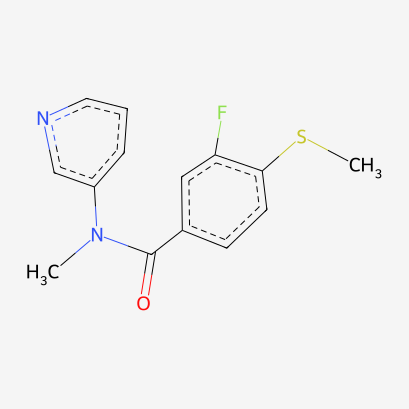 CSc1ccc(C(=O)N(C)c2cccnc2)cc1F